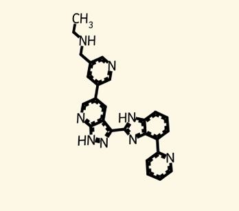 CCNCc1cncc(-c2cnc3[nH]nc(-c4nc5c(-c6ccccn6)cccc5[nH]4)c3c2)c1